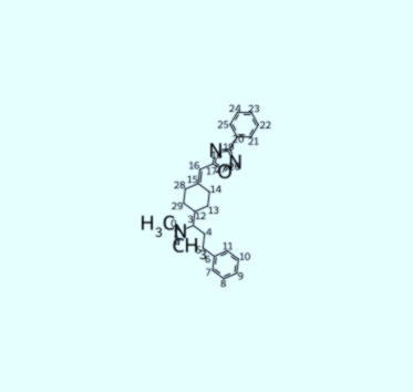 CN(C)C(CCc1ccccc1)C1CCC(=Cc2nc(-c3ccccc3)no2)CC1